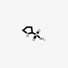 NS(=O)(=O)C1CCCN1